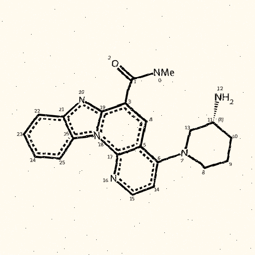 CNC(=O)c1cc2c(N3CCC[C@@H](N)C3)ccnc2n2c1nc1ccccc12